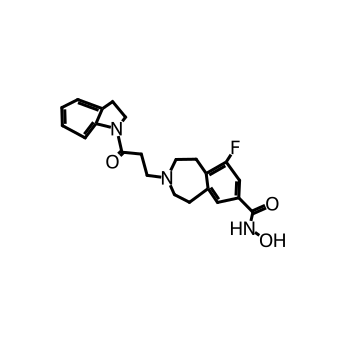 O=C(NO)c1cc(F)c2c(c1)CCN(CCC(=O)N1CCc3ccccc31)CC2